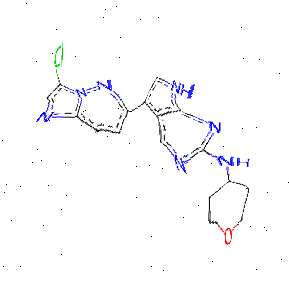 Clc1cnc2ccc(-c3c[nH]c4nc(NC5CCOCC5)ncc34)nn12